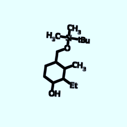 CCC1C(O)CCC(CO[Si](C)(C)C(C)(C)C)C1C